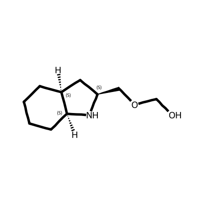 OCOC[C@@H]1C[C@@H]2CCCC[C@@H]2N1